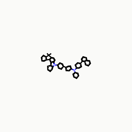 CC1(C)c2ccccc2-c2c1ccc1c2c2ccccc2n1-c1ccc(-c2ccc(N(c3ccccc3)c3ccc(-c4cccc5ccccc45)cc3)cc2)cc1